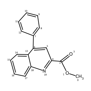 COC(=O)c1cc(-c2ccccc2)c2ccccc2n1